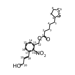 O=C(CCCCC1CCSS1)OCc1cccc(/C=C/CO)c1[N+](=O)[O-]